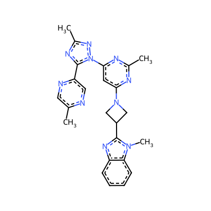 Cc1cnc(-c2nc(C)nn2-c2cc(N3CC(c4nc5ccccc5n4C)C3)nc(C)n2)cn1